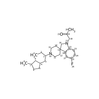 CCC(CC1CCC(C)C1)N1CCC2(CC1)CN(CC(C)=O)c1ccc(F)cc12